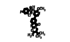 COc1ncc(-c2ccc3ncn(CC(C(N)=O)C(C)C)c(=O)c3c2)cc1NS(=O)(=O)c1ccc(F)cc1Cl